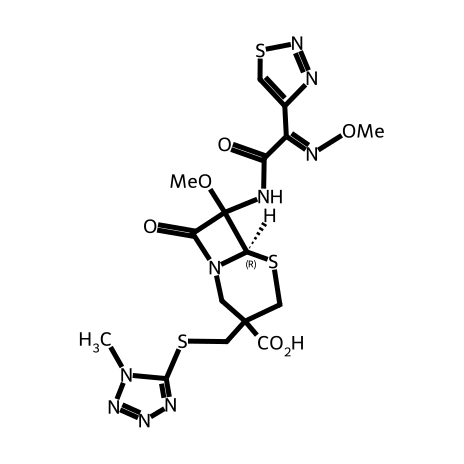 CON=C(C(=O)NC1(OC)C(=O)N2CC(CSc3nnnn3C)(C(=O)O)CS[C@@H]21)c1csnn1